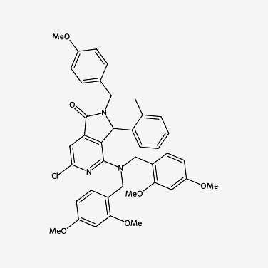 COc1ccc(CN2C(=O)c3cc(Cl)nc(N(Cc4ccc(OC)cc4OC)Cc4ccc(OC)cc4OC)c3C2c2ccccc2C)cc1